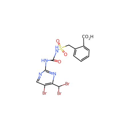 O=C(Nc1ncc(Br)c(C(Br)Br)n1)NS(=O)(=O)Cc1ccccc1C(=O)O